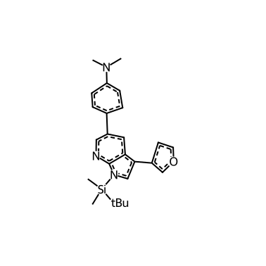 CN(C)c1ccc(-c2cnc3c(c2)c(-c2ccoc2)cn3[Si](C)(C)C(C)(C)C)cc1